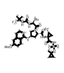 CC[C@@H]1C[C@]1(NC(=O)[C@@H]1C[C@@H](Oc2nccc3cc(OC)ccc23)CN1C(=O)[C@@H](NC(=O)NC(C)(C)C(F)(F)F)C(C)(C)C)C(=O)NS(=O)(=O)OC1(C)CC1